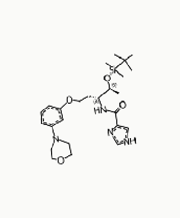 C[C@H](O[Si](C)(C)C(C)(C)C)[C@@H](CCOc1cccc(N2CCOCC2)c1)NC(=O)c1c[nH]cn1